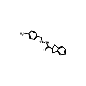 Nc1ccc(CNNC(=O)C2Cc3ccccc3C2)cc1